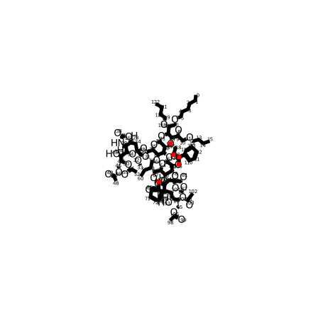 CCCCCCO[C@@H]1OC(COCCCC)[C@H](OCCCC)C(O[C@@H]2OC(CO[C@]3(C(=O)OC)C[C@H]4OC(=O)N[C@H]4C([C@H](O)[C@@H](COC(C)=O)OC(C)=O)O3)[C@@H](OCCCC)C(O[C@@H]3OC4COC(c5ccccc5)OC4C(O[C@@]4(C(=O)OC)C[C@@H]5OC(=O)N[C@@H]5C(C(O)[C@@H](COC(C)=O)OC(C)=O)O4)[C@@H]3OC(=O)c3ccccc3)[C@@H]2C)[C@@H]1OCCCC